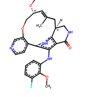 COc1c(F)cccc1Nc1c2[nH]c3c1C(=O)NC[C@@H]3C/C(C)=C/[C@@H](OC)COc1cnccc1-2